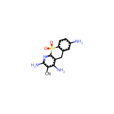 N#Cc1c(N)nc2c(c1N)Cc1cc(N)ccc1S2(=O)=O